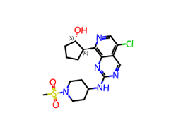 CS(=O)(=O)N1CCC(Nc2ncc3c(Cl)cnc([C@H]4CCC[C@@H]4O)c3n2)CC1